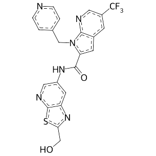 O=C(Nc1cnc2sc(CO)nc2c1)c1cc2cc(C(F)(F)F)cnc2n1Cc1ccncc1